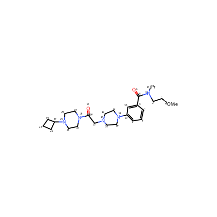 COCCN(C(=O)c1cccc(N2CCN(CC(=O)N3CCN(C4CCC4)CC3)CC2)c1)C(C)C